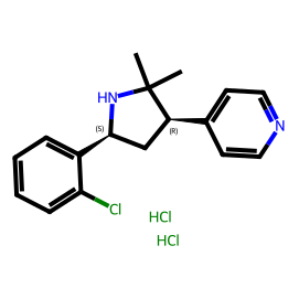 CC1(C)N[C@H](c2ccccc2Cl)C[C@@H]1c1ccncc1.Cl.Cl